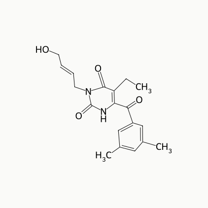 CCc1c(C(=O)c2cc(C)cc(C)c2)[nH]c(=O)n(C/C=C/CO)c1=O